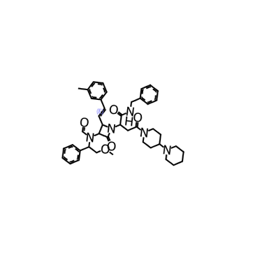 COCC(c1ccccc1)N(C=O)C1C(=O)N(C(CC(=O)N2CCC(N3CCCCC3)CC2)C(=O)NCc2ccccc2)C1/C=C/c1cccc(C)c1